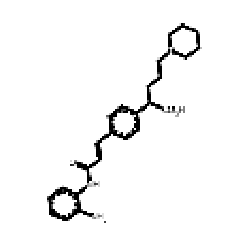 Nc1ccccc1NC(=O)C=Cc1ccc(C(CCCN2CCCCC2)C(=O)O)cc1